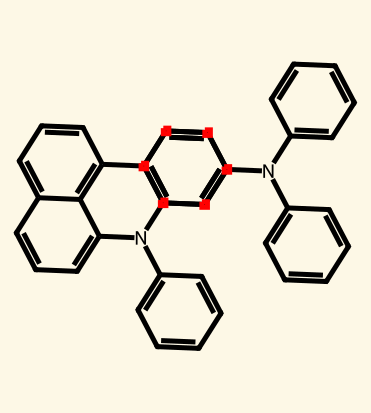 c1ccc(N(c2ccccc2)c2ccc(-c3cccc4cccc(N(c5ccccc5)c5ccccc5)c34)cc2)cc1